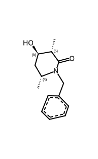 C[C@@H]1C(=O)N(Cc2ccccc2)[C@H](C)C[C@H]1O